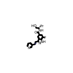 CC(C)[C@@H](CO)NC(=O)c1cc(F)c2[nH]nc(/C=C/c3cccnc3)c2c1